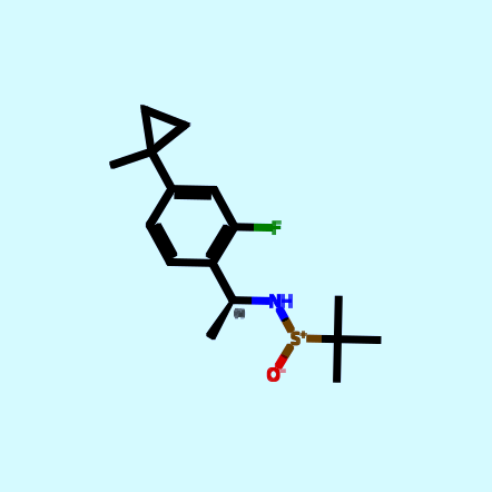 C[C@H](N[S+]([O-])C(C)(C)C)c1ccc(C2(C)CC2)cc1F